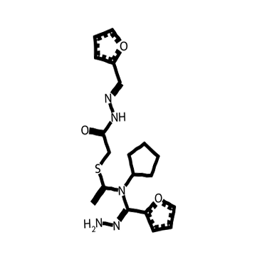 C=C(SCC(=O)N/N=C/c1ccco1)N(/C(=N\N)c1ccco1)C1CCCC1